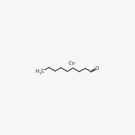 CCCCCCCCC=O.[Co]